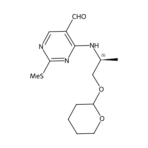 CSc1ncc(C=O)c(N[C@@H](C)COC2CCCCO2)n1